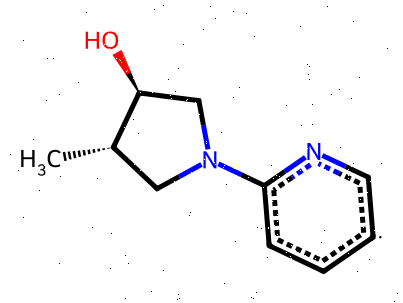 C[C@H]1CN(c2cc[c]cn2)C[C@@H]1O